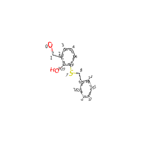 O=Cc1cccc(SCc2ccccc2)c1O